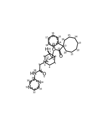 O=C(C[N+]12CCC(CC1)[C@@H](OC(=O)C1(c3ccccc3)CCCCCCC1)C2)Nc1cnccn1